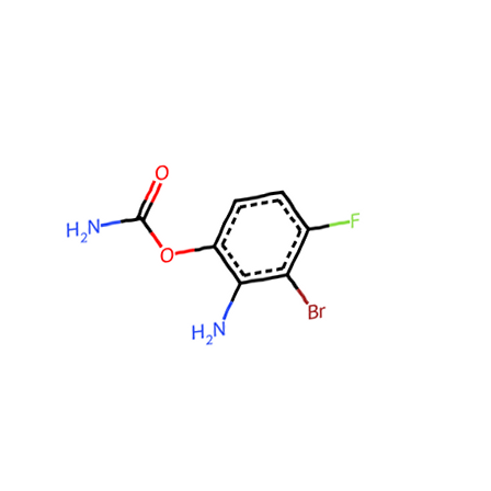 NC(=O)Oc1ccc(F)c(Br)c1N